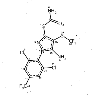 NC(=O)Sc1nn(-c2c(Cl)cc(C(F)(F)F)cc2Cl)c(N)c1SC(F)(F)F